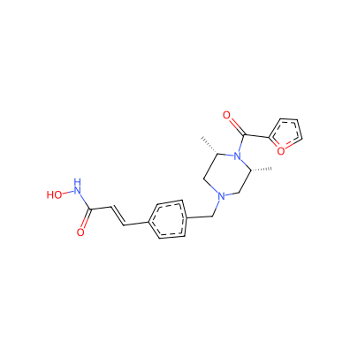 C[C@@H]1CN(Cc2ccc(C=CC(=O)NO)cc2)C[C@H](C)N1C(=O)c1ccco1